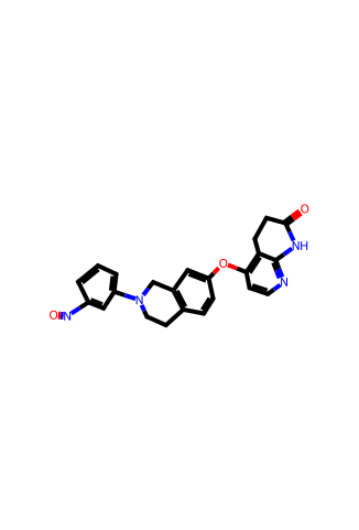 O=Nc1cccc(N2CCc3ccc(Oc4ccnc5c4CCC(=O)N5)cc3C2)c1